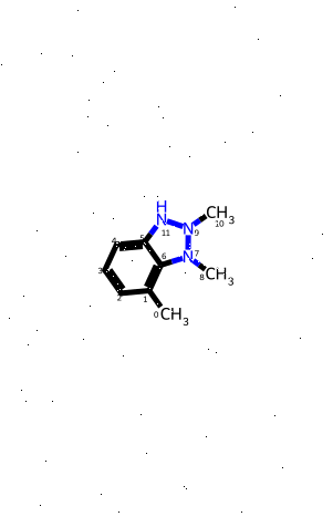 Cc1cccc2c1N(C)N(C)N2